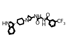 O=C(CNC(=O)c1cccc(C(F)(F)F)c1)NC1CN([C@H]2CC[C@@H](c3c[nH]c4ccccc43)CC2)C1